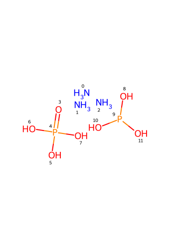 N.N.N.O=P(O)(O)O.OP(O)O